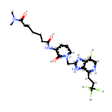 CN(C)C(=O)/C=C/CC[CH]C(=O)Nc1cccn(Cc2nc3c(F)cnc(CCC(F)(F)F)c3[nH]2)c1=O